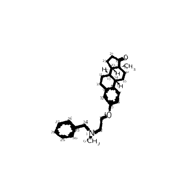 CN(CCOc1ccc2c(c1)CC[C@@H]1[C@@H]2CC[C@]2(C)C(=O)CC[C@@H]12)Cc1ccccc1